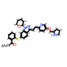 CNC(=O)c1ccccc1Sc1ccc2c(/C=C/c3ccc(OCC4CCCN4)cn3)nn(C3CCCCO3)c2c1